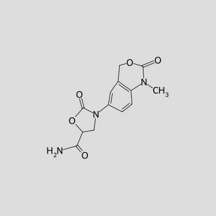 CN1C(=O)OCc2cc(N3CC(C(N)=O)OC3=O)ccc21